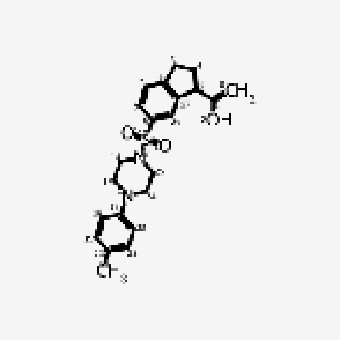 C=C(O)C1CCc2ccc(S(=O)(=O)N3CCN(c4ccc(C)cc4)CC3)cc21